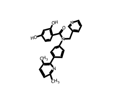 Cc1ccc(C)c(-c2ccc(N(Cc3cccnc3)C(=O)c3ccc(O)cc3O)cc2)n1